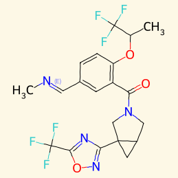 C/N=C/c1ccc(OC(C)C(F)(F)F)c(C(=O)N2CC3CC3(c3noc(C(F)(F)F)n3)C2)c1